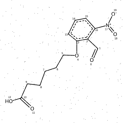 O=Cc1c(OCCCCCC(=O)O)cccc1[N+](=O)[O-]